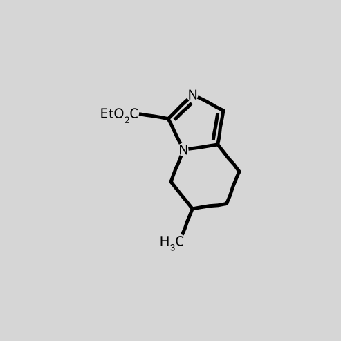 CCOC(=O)c1ncc2n1CC(C)CC2